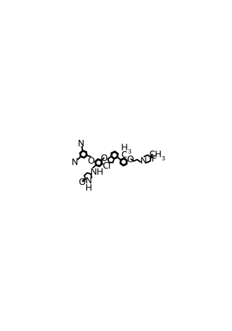 Cc1c(OCCCN2CCC(C)(F)CC2)cccc1-c1cccc2c1CC[C@@H]2Oc1cc(OCc2cc(C#N)cc(C#N)c2)c(CN[C@@H]2CCC(=O)NC2)cc1Cl